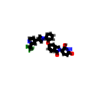 O=C1CCC(N2Cc3cc(OC4CCCCC4N4CC(c5ccnc(C(F)(F)F)c5)C4)ccc3C2=O)C(=O)N1